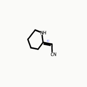 N#C/C=C1\CCCCN1